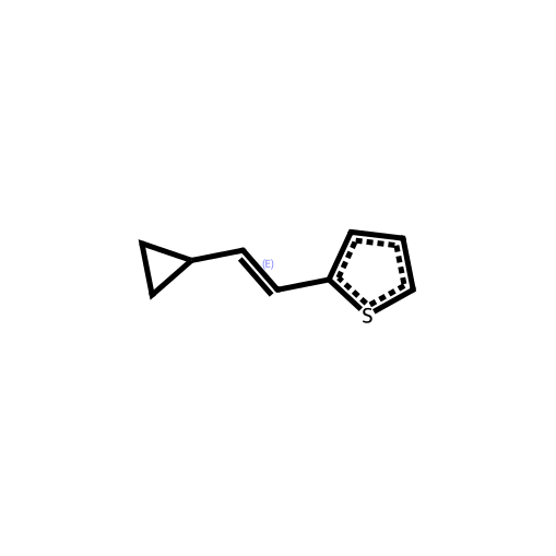 C(=C\c1cccs1)/[C]1CC1